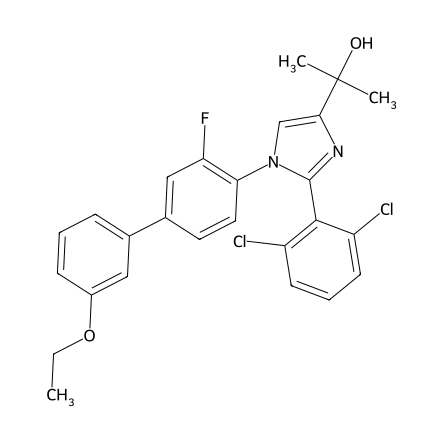 CCOc1cccc(-c2ccc(-n3cc(C(C)(C)O)nc3-c3c(Cl)cccc3Cl)c(F)c2)c1